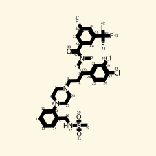 CN(C[C@@H](CCN1CCN(c2ccccc2CNS(C)(=O)=O)CC1)c1ccc(Cl)c(Cl)c1)C(=O)c1cc(F)cc(C(F)(F)F)c1